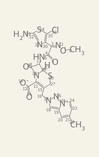 CO/N=C(\C(=O)N[C@@H]1C(=O)N2C(C(=O)[O-])=C(Cn3cc4cc(C)cc[n+]4n3)CS[C@@H]12)c1nc(N)sc1Cl